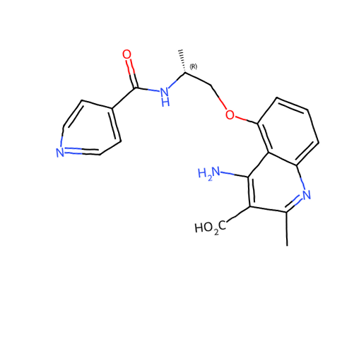 Cc1nc2cccc(OC[C@@H](C)NC(=O)c3ccncc3)c2c(N)c1C(=O)O